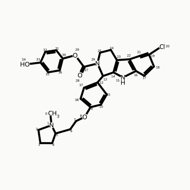 CN1CCCC1CCOc1ccc(C2c3[nH]c4ccc(Cl)cc4c3CCN2C(=O)Oc2ccc(O)cc2)cc1